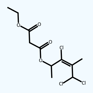 CCOC(=O)CC(=O)OC(C)C(Cl)=C(C)C(Cl)Cl